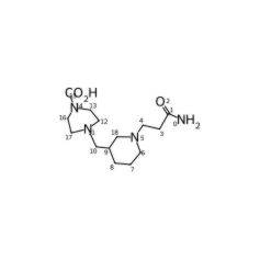 NC(=O)CCN1CCCC(CN2CCN(C(=O)O)CC2)C1